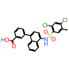 Cc1cc(S(=O)(=O)Nc2ccc(-c3cccc(C(=O)O)c3)c3ccccc23)c(Cl)cc1Cl